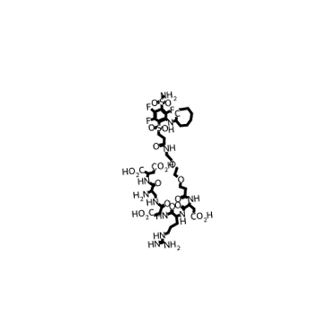 N=C(N)NCCCC(NC(=O)C(CC(=O)O)NC(=O)CCOCCOCCNC(=O)CCS(=O)(=O)c1c(F)c(F)c(S(N)(=O)=O)c(F)c1NC1CCCCCCC1)C(=O)NC(CC(=O)O)C(=O)NCC(N)C(=O)NC(CC(=O)O)C(=O)O